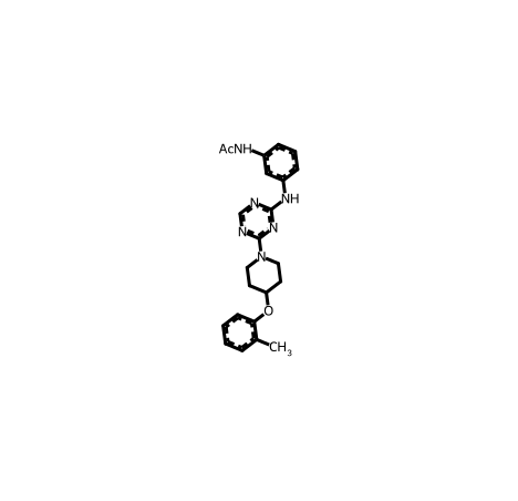 CC(=O)Nc1cccc(Nc2ncnc(N3CCC(Oc4ccccc4C)CC3)n2)c1